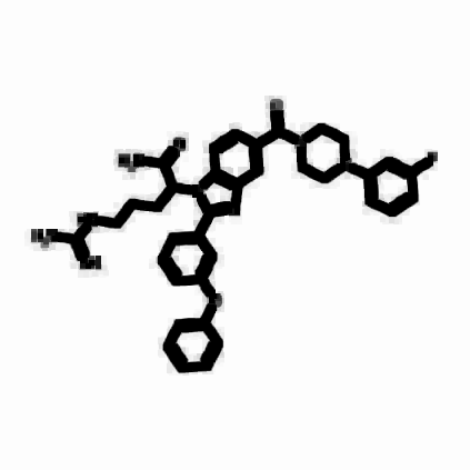 N=C(N)NCCCC(C(N)=O)n1c(-c2cccc(Oc3ccccc3)c2)nc2cc(C(=O)N3CCN(c4cccc(F)c4)CC3)ccc21